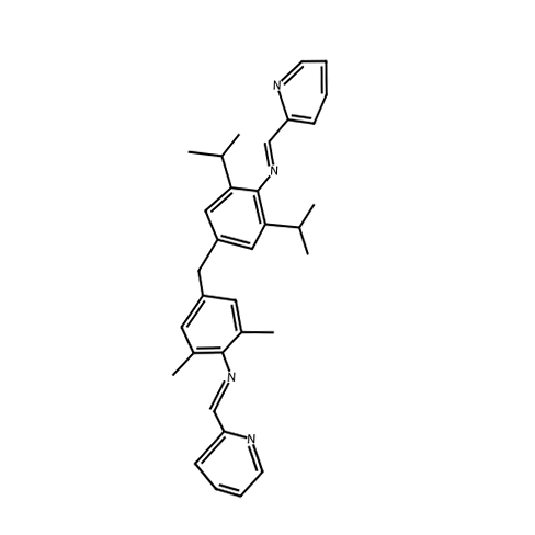 Cc1cc(Cc2cc(C(C)C)c(/N=C/c3ccccn3)c(C(C)C)c2)cc(C)c1/N=C/c1ccccn1